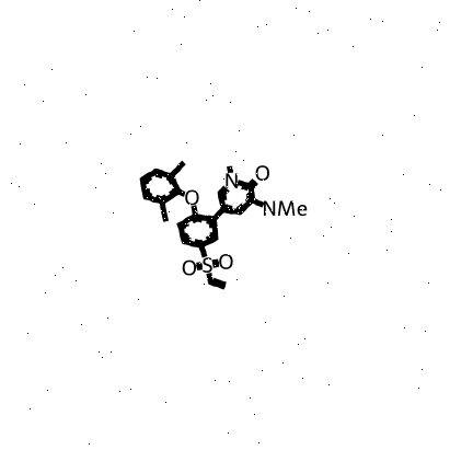 C=CS(=O)(=O)c1ccc(Oc2c(C)cccc2C)c(-c2cc(NC)c(=O)n(C)c2)c1